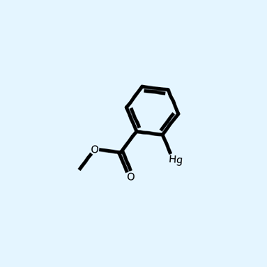 COC(=O)c1cccc[c]1[Hg]